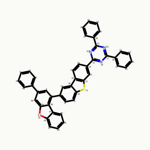 c1ccc(-c2cc(-c3ccc4sc5cc(-c6nc(-c7ccccc7)nc(-c7ccccc7)n6)ccc5c4c3)c3c(c2)oc2ccccc23)cc1